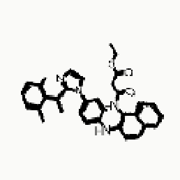 CCOC(=O)CC(=O)Nc1c(Nc2ccc(-n3ccnc3C(C)c3c(C)cccc3C)cc2)ccc2ccccc12